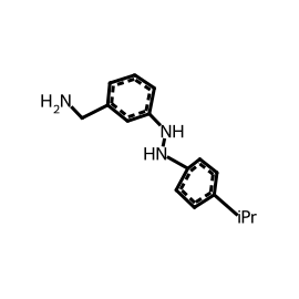 CC(C)c1ccc(NNc2cccc(CN)c2)cc1